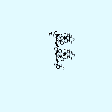 COCCN(CC(=O)OCCN(CC(C)=O)C(=O)OC(C)(C)C)C(=O)OC(C)(C)C